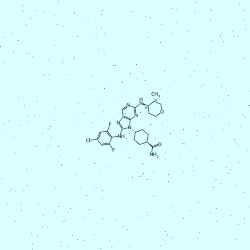 C[C@@H]1COCC[C@H]1Nc1ncc2nc(Nc3c(F)cc(Cl)cc3F)n([C@H]3CC[C@H](C(N)=O)CC3)c2n1